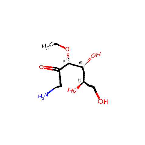 CO[C@@H](C(=O)CN)[C@H](O)[C@H](O)CO